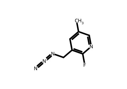 Cc1cnc(F)c(CN=[N+]=[N-])c1